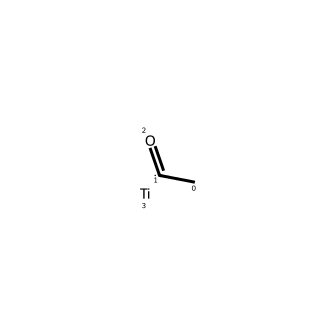 C[C]=O.[Ti]